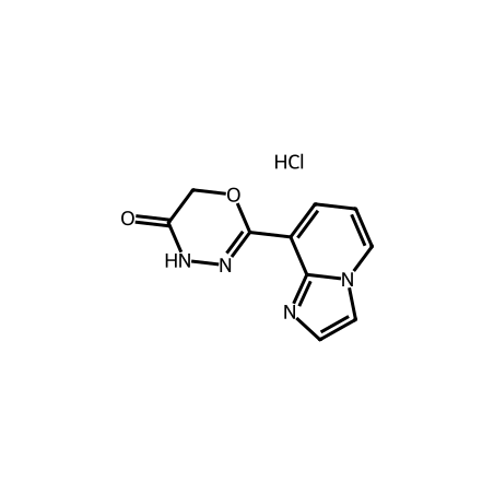 Cl.O=C1COC(c2cccn3ccnc23)=NN1